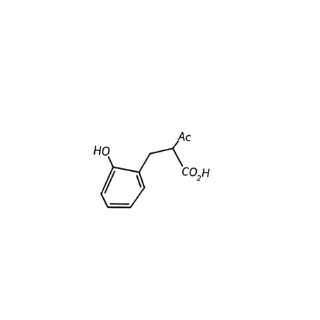 CC(=O)C(Cc1ccccc1O)C(=O)O